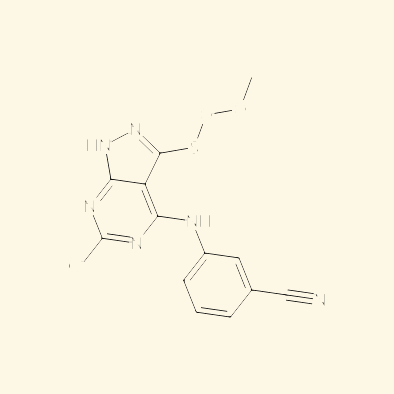 COOSc1n[nH]c2nc(Cl)nc(Nc3cccc(C#N)c3)c12